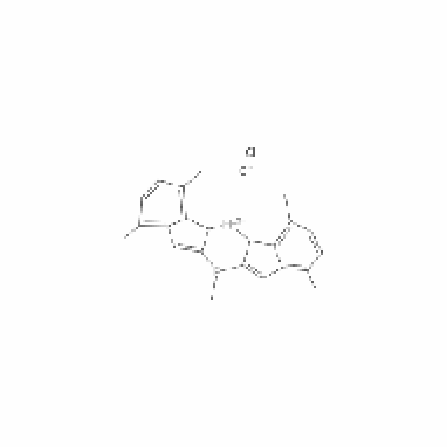 Cc1ccc(C)c2c1C=C1[CH]2[Hf+2][CH]2C(=Cc3c(C)ccc(C)c32)P1C.[Cl-].[Cl-]